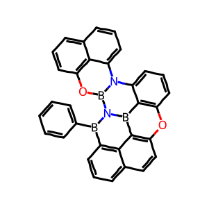 c1ccc(B2c3cccc4ccc5c(c34)B3c4c(cccc4N4B(Oc6cccc7cccc4c67)N23)O5)cc1